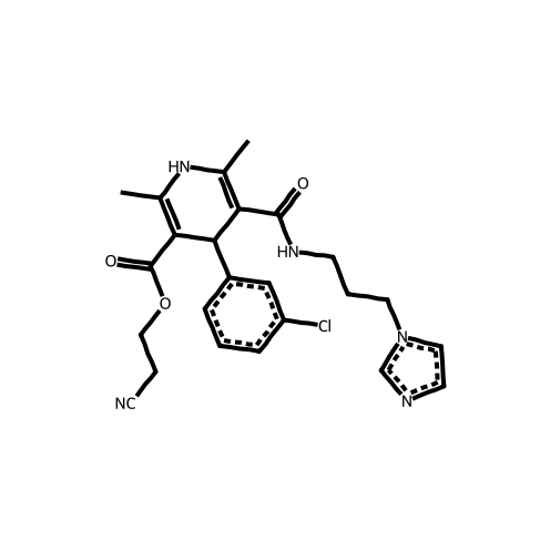 CC1=C(C(=O)NCCCn2ccnc2)C(c2cccc(Cl)c2)C(C(=O)OCCC#N)=C(C)N1